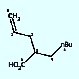 C=CCC(CCCCC)C(=O)O